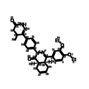 CCOc1ccc(C2=NN(c3ccc(C4=NNC(=O)CC4C)cc3)C(=O)[C@@H]3CC=CC[C@H]23)cc1OCC